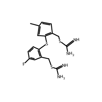 Cc1ccc(CSC(=N)N)c(Sc2ccc(F)cc2CSC(=N)N)c1